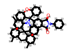 Cc1ccc2c(c1)N(C1(c3ccc4c(c3)C(=O)N(c3ccccc3)C4=O)c3ccccc3Oc3ccccc31)c1ccccc1C21c2cccc(C)c2Cc2c(C)cccc21